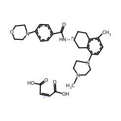 Cc1ccc(N2CCN(C)CC2)c2c1CC[C@@H](NC(=O)c1ccc(N3CCOCC3)cc1)C2.O=C(O)/C=C\C(=O)O